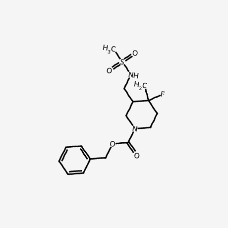 CC1(F)CCN(C(=O)OCc2ccccc2)CC1CNS(C)(=O)=O